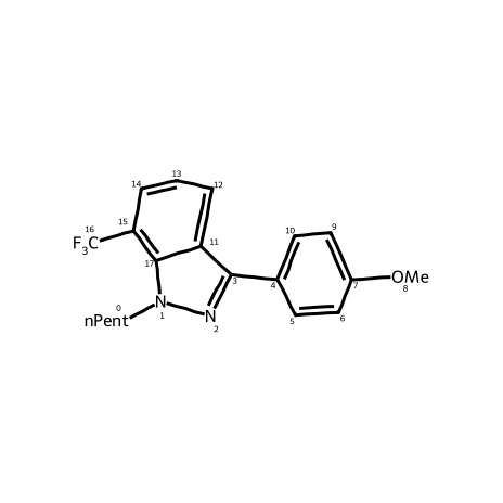 CCCCCn1nc(-c2ccc(OC)cc2)c2cccc(C(F)(F)F)c21